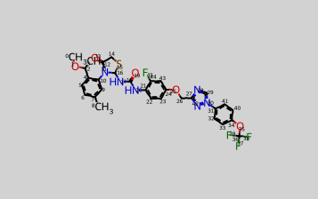 COC(C)c1ccc(C)cc1N1C(=O)CSC1NC(=O)Nc1ccc(OCc2ncn(-c3ccc(OC(F)(F)F)cc3)n2)cc1F